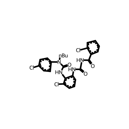 CCCCN(C(=O)Nc1c(Cl)cccc1NC(=O)NC(=O)c1ccccc1Cl)c1ccc(Cl)cc1